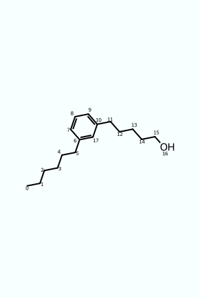 CCCCCCc1cccc(CCCCCO)c1